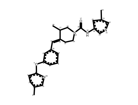 Cc1ccc(Oc2cccc(C=C3CCN(C(=O)Nc4cncc(C)c4)CC3C)c2)nc1